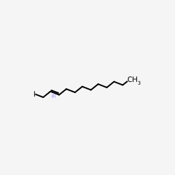 CCCCCCCCC/C=C/CI